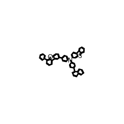 c1ccc(-c2cccc3c2oc2ccc(-c4ccc(N(c5ccc(-c6cccc7ccccc67)cc5)c5ccc6c(c5)sc5ccccc56)cc4)cc23)cc1